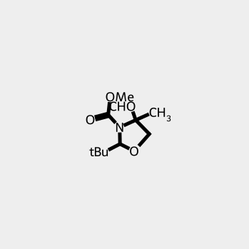 COC(=O)N1C(C(C)(C)C)OCC1(C)C=O